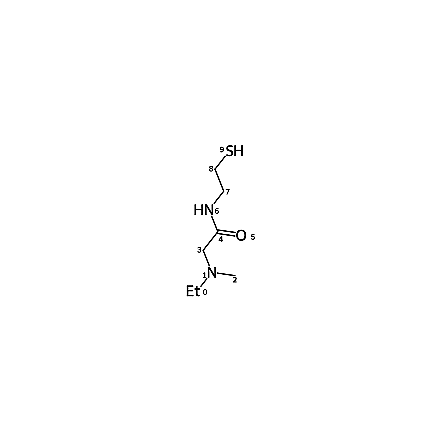 CCN(C)CC(=O)NCCS